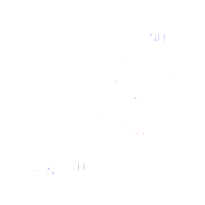 N[SiH2]CCCC(=O)c1ccc(N)cc1